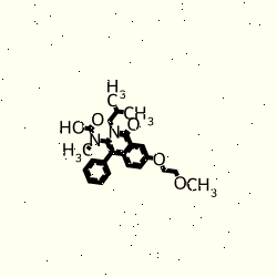 COCCOc1ccc2c(-c3ccccc3)c(N(C)C(=O)O)n(CC(C)C)c(=O)c2c1